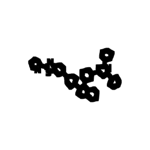 c1ccc(-c2cc(-c3cccc(-c4c(-c5ccc(-c6ccc7nc(-c8ccccn8)sc7c6)cc5)ccc5ccccc45)c3)cc(-c3ccccc3)n2)cc1